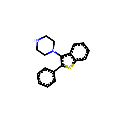 c1ccc(-c2sc3ccccc3c2N2CCNCC2)cc1